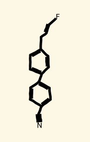 N#Cc1ccc(-c2ccc(CC=CF)cc2)cc1